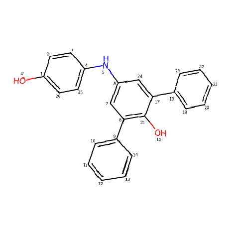 Oc1ccc(Nc2cc(-c3ccccc3)c(O)c(-c3ccccc3)c2)cc1